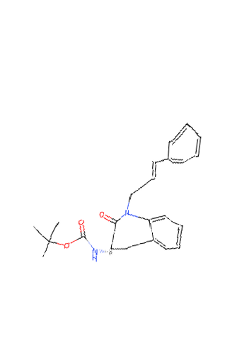 CC(C)(C)OC(=O)N[C@H]1Cc2ccccc2N(CC=Cc2ccccc2)C1=O